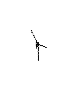 CCCCCCCCCCCCN1C=CN(CCCCCCCCCCC)C1CCCCCCC